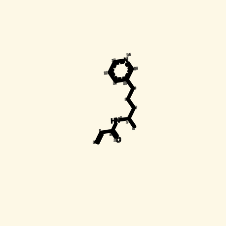 C=CC(=O)NC(C)CCCc1cccnc1